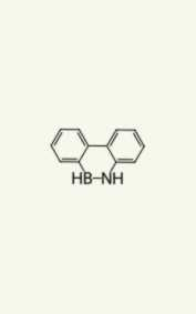 B1Nc2ccccc2-c2ccccc21